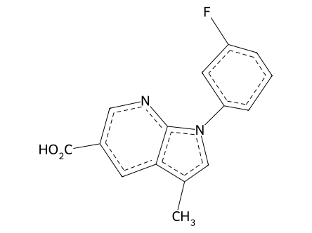 Cc1cn(-c2cccc(F)c2)c2ncc(C(=O)O)cc12